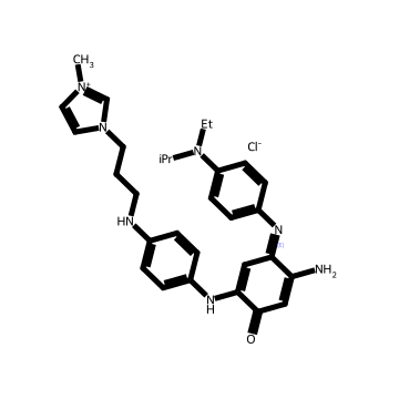 CCN(c1ccc(/N=C2\C=C(Nc3ccc(NCCCn4cc[n+](C)c4)cc3)C(=O)C=C2N)cc1)C(C)C.[Cl-]